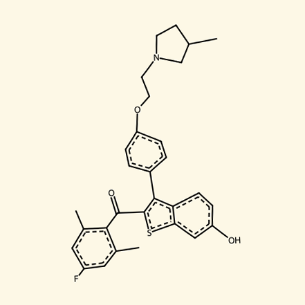 Cc1cc(F)cc(C)c1C(=O)c1sc2cc(O)ccc2c1-c1ccc(OCCN2CCC(C)C2)cc1